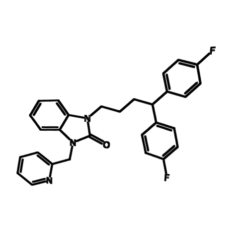 O=c1n(CCCC(c2ccc(F)cc2)c2ccc(F)cc2)c2ccccc2n1Cc1ccccn1